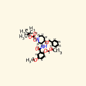 COCOc1ccc(OC)cc1C(=O)N[C@@H]1CN(OC(=O)OC(C)(C)C)CCC[C@H]1OCc1ccccc1